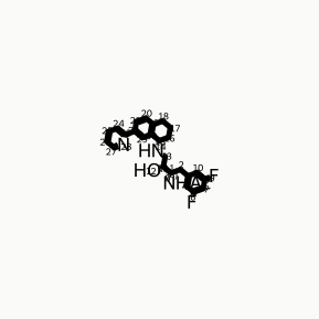 CC(=O)N[C@@H](Cc1cc(F)cc(F)c1)[C@H](O)CNC1CCCc2ccc(-c3ccccn3)cc21